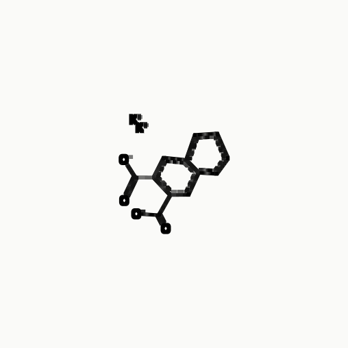 O=C([O-])c1cc2ccccc2cc1C(=O)[O-].[K+].[K+]